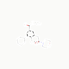 COC(=O)c1cc(CC(=O)N2CCOCC2)c(OC)c(C2CCCCC2)c1